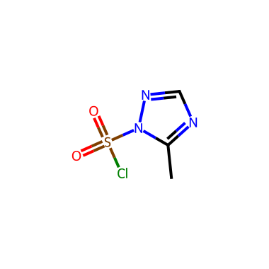 Cc1ncnn1S(=O)(=O)Cl